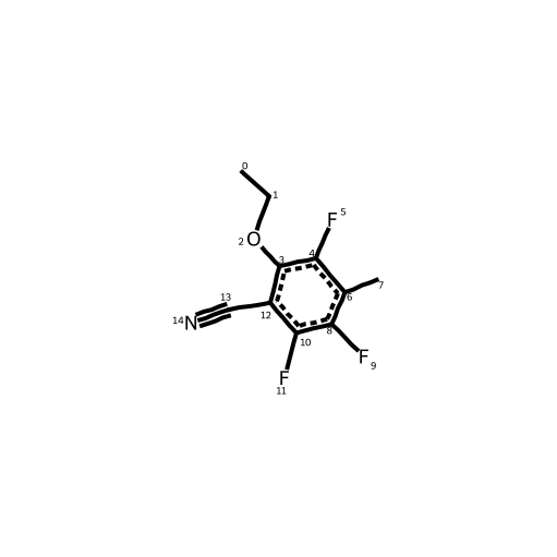 CCOc1c(F)c(C)c(F)c(F)c1C#N